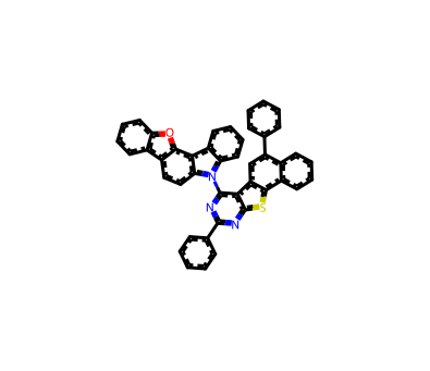 c1ccc(-c2nc(-n3c4ccccc4c4c5oc6ccccc6c5ccc43)c3c(n2)sc2c4ccccc4c(-c4ccccc4)cc23)cc1